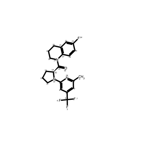 Cc1cc(C(F)(F)F)cc(N2CCC[C@H]2C(=O)N2CCCc3cc(F)ccc32)n1